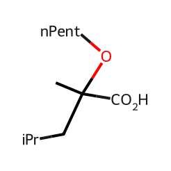 CCCCCOC(C)(CC(C)C)C(=O)O